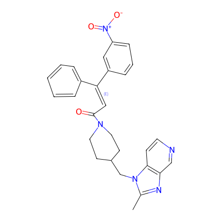 Cc1nc2cnccc2n1CC1CCN(C(=O)/C=C(\c2ccccc2)c2cccc([N+](=O)[O-])c2)CC1